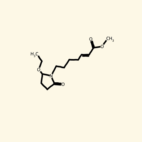 CCOC1CCC(=O)N1CCCCC=CC(=O)OC